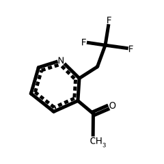 CC(=O)c1cccnc1CC(F)(F)F